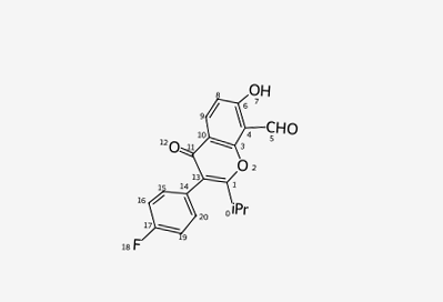 CC(C)c1oc2c(C=O)c(O)ccc2c(=O)c1-c1ccc(F)cc1